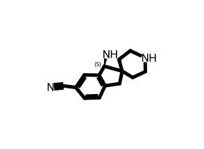 N#Cc1ccc2c(c1)[C@@H](N)C1(CCNCC1)C2